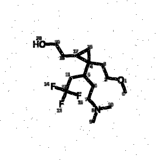 COCCC1([C](CCN(C)C)CC(F)(F)F)CC1CCO